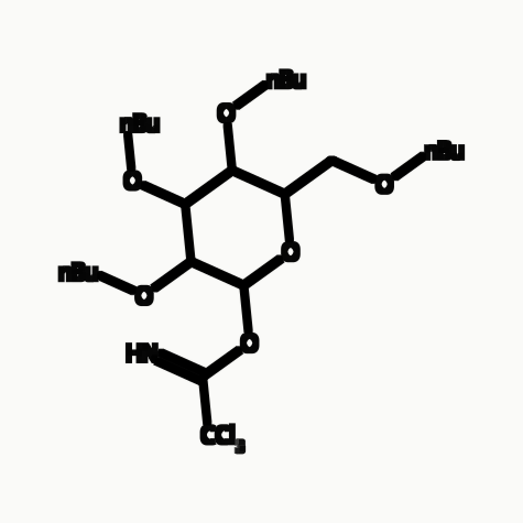 CCCCOCC1OC(OC(=N)C(Cl)(Cl)Cl)C(OCCCC)C(OCCCC)C1OCCCC